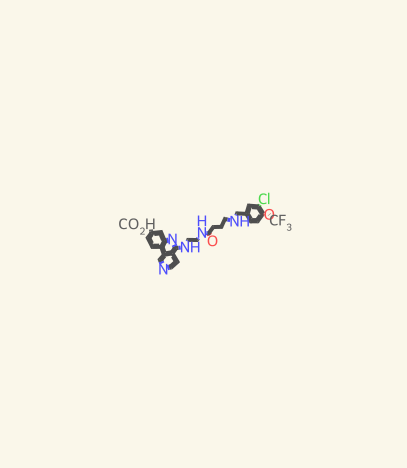 O=C(CCCNCc1ccc(OC(F)(F)F)c(Cl)c1)NCCNc1nc2cc(C(=O)O)ccc2c2cnccc12